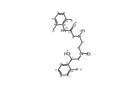 CCN(CCN(CC)CC(O)c1ccccc1F)CC(=O)Nc1c(C)cccc1C